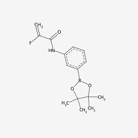 C=C(F)C(=O)Nc1cccc(B2OC(C)(C)C(C)(C)O2)c1